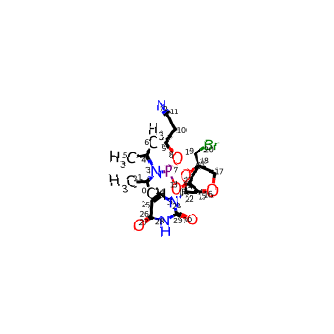 CC(C)N(C(C)C)P(OCCC#N)OC1C2OC[C@@]1(CBr)O[C@H]2n1ccc(=O)[nH]c1=O